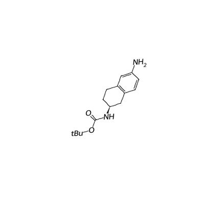 CC(C)(C)OC(=O)N[C@H]1CCc2cc(N)ccc2C1